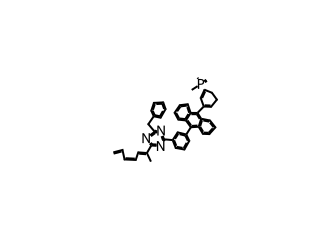 C=C/C=C\C=C(/C)c1nc(Cc2ccccc2)nc(-c2cccc(-c3c4ccccc4c(C4=CCCC(P(=C)(C)C)=C4)c4ccccc34)c2)n1